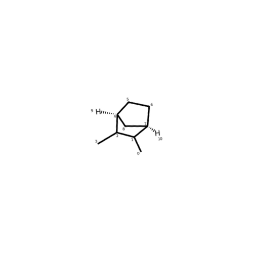 CC1C(C)[C@H]2CC[C@@H]1C2